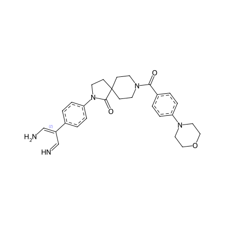 N=C/C(=C\N)c1ccc(N2CCC3(CCN(C(=O)c4ccc(N5CCOCC5)cc4)CC3)C2=O)cc1